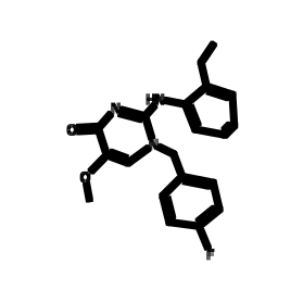 CCc1ccccc1Nc1nc(=O)c(OC)cn1Cc1ccc(F)cc1